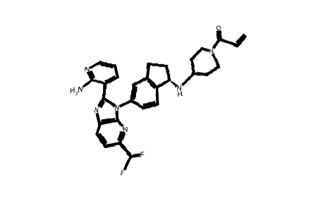 C=CC(=O)N1CCC(N[C@@H]2CCc3cc(-n4c(-c5cccnc5N)nc5ccc(C(F)F)nc54)ccc32)CC1